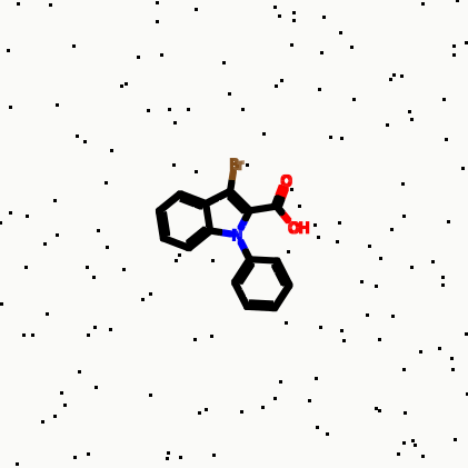 O=C(O)c1c(Br)c2ccccc2n1-c1ccccc1